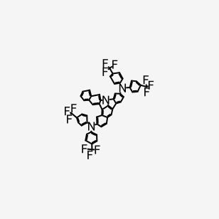 FC(F)(F)c1ccc(N(c2ccc(C(F)(F)F)cc2)c2ccc3cc4c5ccc(N(c6ccc(C(F)(F)F)cc6)c6ccc(C(F)(F)F)cc6)cc5n5c6cc7ccccc7cc6c(c3c2)c45)cc1